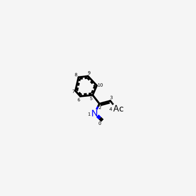 C=N/C(=C\C(C)=O)c1ccccc1